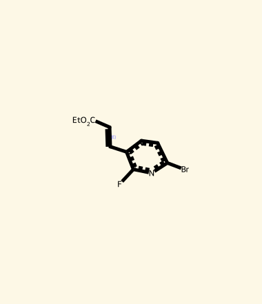 CCOC(=O)/C=C/c1ccc(Br)nc1F